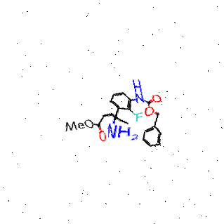 COC(=O)CC(C)(N)c1cccc(NC(=O)OCc2ccccc2)c1F